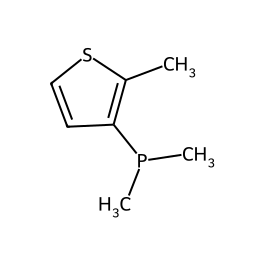 Cc1sccc1P(C)C